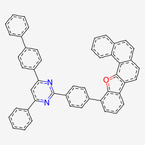 c1ccc(-c2ccc(-c3cc(-c4ccccc4)nc(-c4ccc(-c5cccc6c5oc5c6ccc6ccc7ccccc7c65)cc4)n3)cc2)cc1